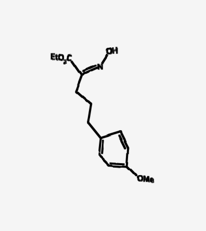 CCOC(=O)C(CCCc1ccc(OC)cc1)=NO